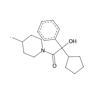 [CH2]C1CCN(C(=O)C(O)(c2ccccc2)C2CCCC2)CC1